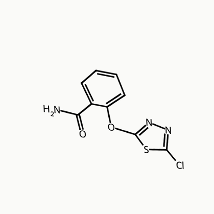 NC(=O)c1ccccc1Oc1nnc(Cl)s1